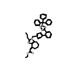 CCCc1nc2c(n1Cc1ccc(-c3ccccc3-c3nnn(C(c4ccccc4)(c4ccccc4)c4ccccc4)n3)cc1)CCCCC2=CC(=O)OCC